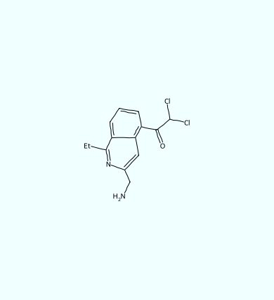 CCc1nc(CN)cc2c(C(=O)C(Cl)Cl)cccc12